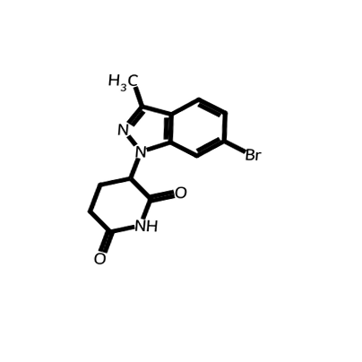 Cc1nn(C2CCC(=O)NC2=O)c2cc(Br)ccc12